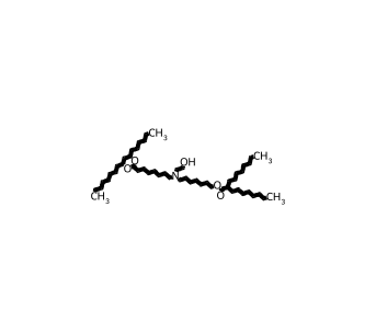 CCCCCCCCC(CCCCCCCC)OC(=O)CCCCCCCN(CCO)CCCCCCCOC(=O)C(CCCCCCCC)CCCCCCCC